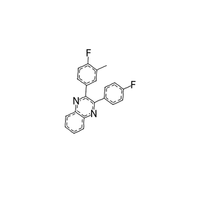 Cc1cc(-c2nc3ccccc3nc2-c2ccc(F)cc2)ccc1F